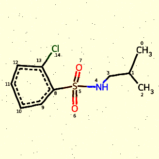 CC(C)CNS(=O)(=O)c1ccccc1Cl